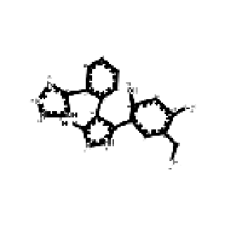 CCc1cc(-c2[nH]nc(O)c2-c2ccccc2-c2nnn[nH]2)c(O)cc1O